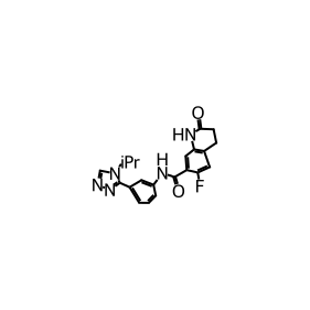 CC(C)n1cnnc1-c1cccc(NC(=O)c2cc3c(cc2F)CCC(=O)N3)c1